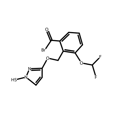 O=C(Br)c1cccc(OC(F)F)c1COc1ccn(S)n1